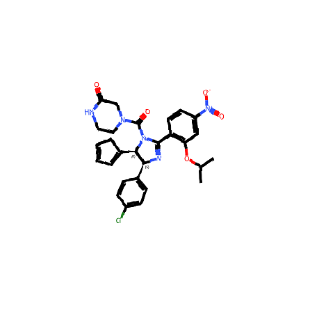 CC(C)Oc1cc([N+](=O)[O-])ccc1C1=N[C@@H](c2ccc(Cl)cc2)[C@@H](C2=CC=CC2)N1C(=O)N1CCNC(=O)C1